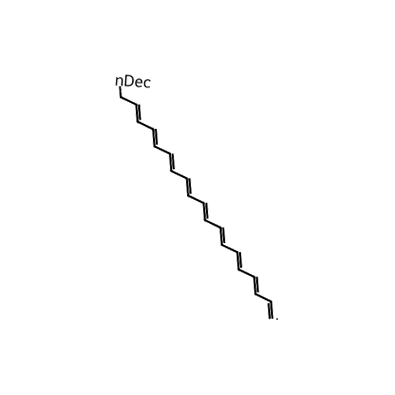 [CH]=C/C=C/C=C/C=C/C=C/C=C/C=C/C=C/C=C/CCCCCCCCCCC